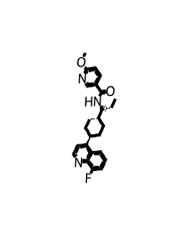 CC[C@@H](NC(=O)c1ccc(OC)nc1)[C@H]1CC[C@H](c2ccnc3c(F)cccc32)CC1